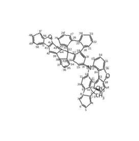 CC1(C)c2ccccc2-c2ccc(N(c3ccc4c(c3)-c3ccccc3-c3ccccc3C43c4ccccc4-c4cc5c(cc43)oc3ccccc35)c3cccc4oc5ccccc5c34)cc21